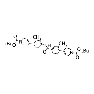 Cc1cc(NC(=O)c2ccc(C3=CCN(C(=O)OC(C)(C)C)CC3)c(C)c2)ccc1C1=CCN(C(=O)OC(C)(C)C)CC1